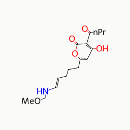 CCCC(=O)c1c(O)cc(CCC/C=C/NCOC)oc1=O